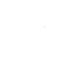 O=C(O)C=Cc1cc(C(F)(F)F)cnc1Cl